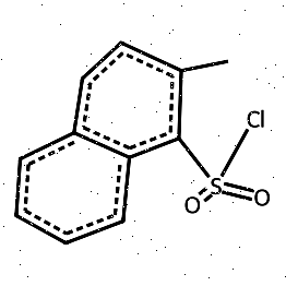 Cc1ccc2ccccc2c1S(=O)(=O)Cl